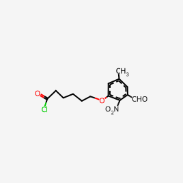 Cc1cc(C=O)c([N+](=O)[O-])c(OCCCCCC(=O)Cl)c1